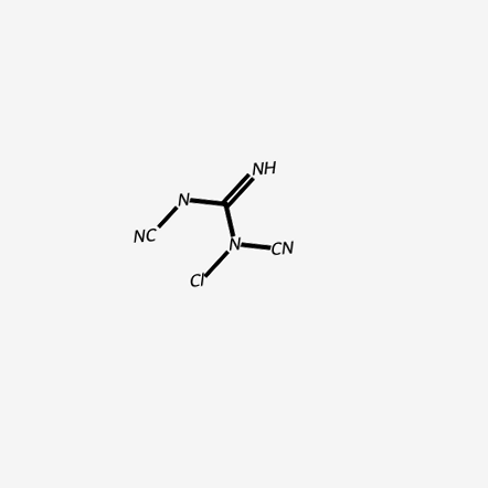 N#C[N]C(=N)N(Cl)C#N